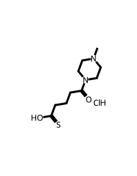 CN1CCN(C(=O)CCCC(O)=S)CC1.Cl